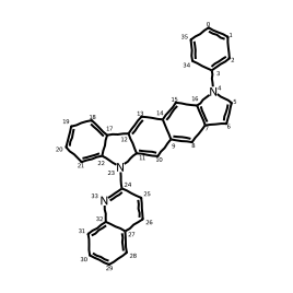 c1ccc(-n2ccc3cc4cc5c(cc4cc32)c2ccccc2n5-c2ccc3ccccc3n2)cc1